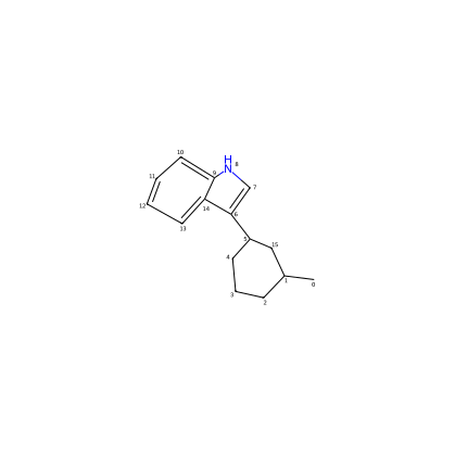 CC1CCCC(c2c[nH]c3ccccc23)C1